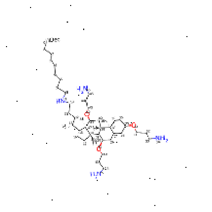 CCCCCCCCCCCCCCCCCCNCCC[C@@H](C)[C@H]1CC[C@H]2C3[C@H](OCCCN)CC4C[C@H](OCCCN)CC[C@]4(C)[C@H]3C[C@H](OCCCN)[C@]12C